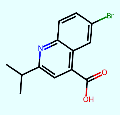 CC(C)c1cc(C(=O)O)c2cc(Br)ccc2n1